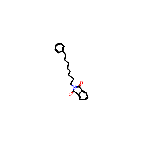 O=C1c2ccccc2C(=O)N1CCCCCCCCc1ccccc1